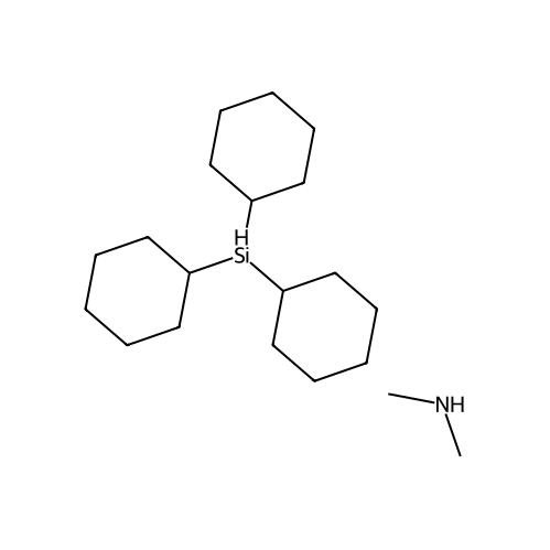 C1CCC([SiH](C2CCCCC2)C2CCCCC2)CC1.CNC